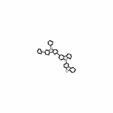 c1ccc(-c2ccc3c4cc(-c5ccc6c(c5)c5ccccc5n6-c5ccc6oc7ccccc7c6c5)ccc4n(-c4ccccc4)c3c2)cc1